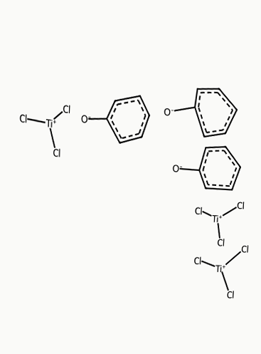 [Cl][Ti+]([Cl])[Cl].[Cl][Ti+]([Cl])[Cl].[Cl][Ti+]([Cl])[Cl].[O-]c1ccccc1.[O-]c1ccccc1.[O-]c1ccccc1